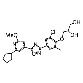 COc1cc(-c2nc(-c3cc(C)c(OCC(O)CO)c(Cl)c3)no2)cc(C2CCCC2)n1